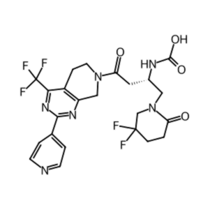 O=C(O)N[C@@H](CC(=O)N1CCc2c(nc(-c3ccncc3)nc2C(F)(F)F)C1)CN1CC(F)(F)CCC1=O